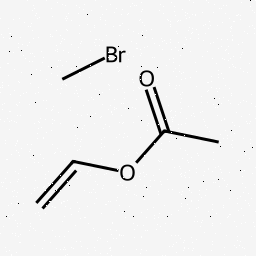 C=COC(C)=O.CBr